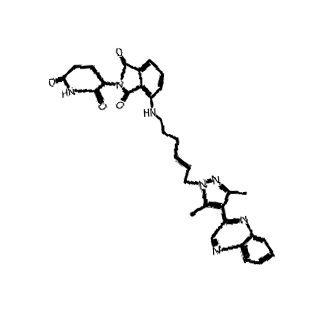 Cc1nn(CCCCCCNc2cccc3c2C(=O)N(C2CCC(=O)NC2=O)C3=O)c(C)c1-c1cnc2ccccc2n1